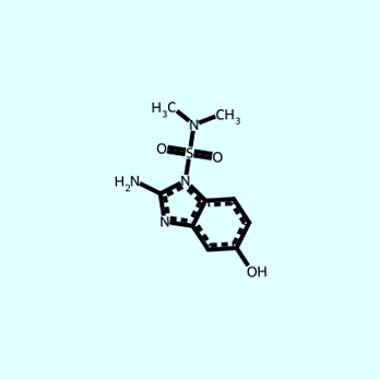 CN(C)S(=O)(=O)n1c(N)nc2cc(O)ccc21